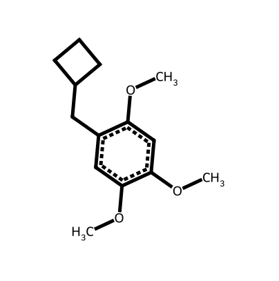 COc1cc(OC)c(OC)cc1CC1CCC1